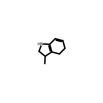 CC1CNC2=C1CCC=C2